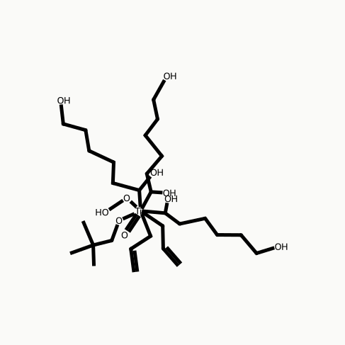 C=C[CH2][Ti](=[O])([CH2]C=C)([O]O)([O]CC(C)(C)C)([CH](O)CCCCCO)([CH](O)CCCCCO)[CH](O)CCCCCO